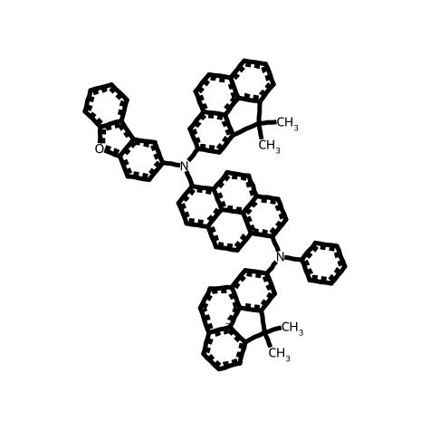 CC1(C)c2cccc3ccc4cc(N(c5ccccc5)c5ccc6ccc7c(N(c8cc9c%10c(ccc%11cccc(c%11%10)C9(C)C)c8)c8ccc9oc%10ccccc%10c9c8)ccc8ccc5c6c87)cc1c4c23